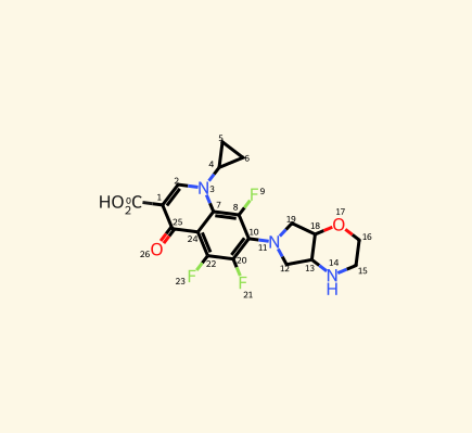 O=C(O)c1cn(C2CC2)c2c(F)c(N3CC4NCCOC4C3)c(F)c(F)c2c1=O